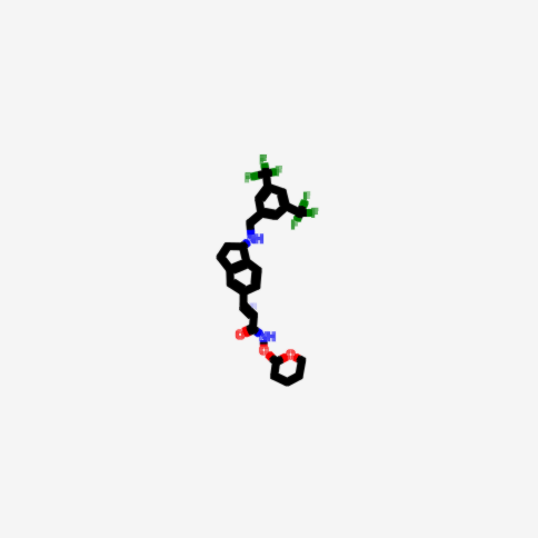 O=C(/C=C/c1ccc2c(c1)CCC2NCc1cc(C(F)(F)F)cc(C(F)(F)F)c1)NOC1CCCCO1